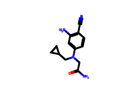 N#Cc1ccc(N(CC(N)=O)CC2CC2)cc1N